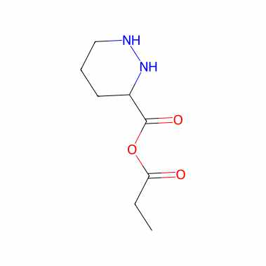 CCC(=O)OC(=O)C1CCCNN1